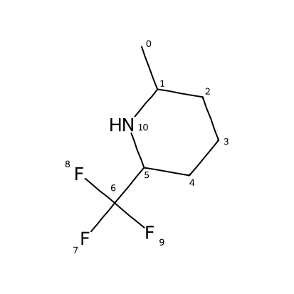 CC1CCCC(C(F)(F)F)N1